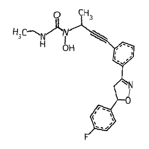 CCNC(=O)N(O)C(C)C#Cc1cccc(C2=NOC(c3ccc(F)cc3)C2)c1